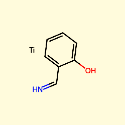 N=Cc1ccccc1O.[Ti]